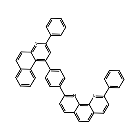 c1ccc(-c2cc(-c3ccc(-c4ccc5ccc6ccc(-c7ccccc7)nc6c5n4)cc3)c3c(ccc4ccccc43)n2)cc1